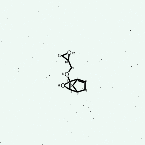 C1=C2CC(C1)C1OC21OCC1CO1